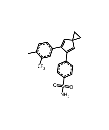 Cc1ccc(C2=CC3(C=C2c2ccc(S(N)(=O)=O)cc2)CC3)cc1C(F)(F)F